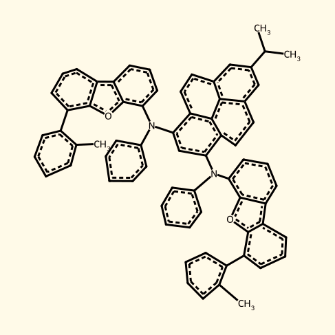 Cc1ccccc1-c1cccc2c1oc1c(N(c3ccccc3)c3cc(N(c4ccccc4)c4cccc5c4oc4c(-c6ccccc6C)cccc45)c4ccc5cc(C(C)C)cc6ccc3c4c65)cccc12